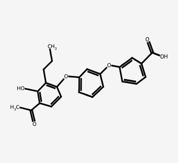 CCCc1c(Oc2cccc(Oc3cccc(C(=O)O)c3)c2)ccc(C(C)=O)c1O